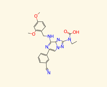 CCN(C(=O)O)c1nc2c(NCc3ccc(OC)cc3OC)nc(-c3cccc(C#N)c3)cn2n1